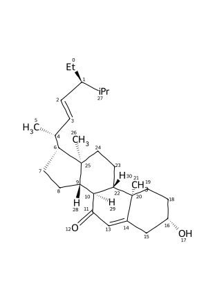 CC[C@H](/C=C/[C@@H](C)[C@H]1CC[C@H]2[C@@H]3C(=O)C=C4C[C@@H](O)CC[C@]4(C)[C@H]3CC[C@]12C)C(C)C